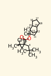 CC(C)(C)CC1(C(=O)OC2(C)CC3CC2C2CCCC32)CC1(C)C